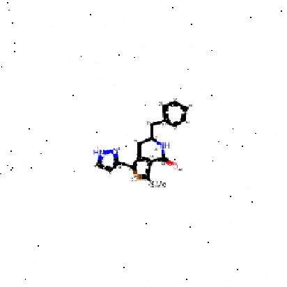 CSc1sc(-c2cc[nH]n2)c2c1C(=O)NC(Cc1ccccc1)C2